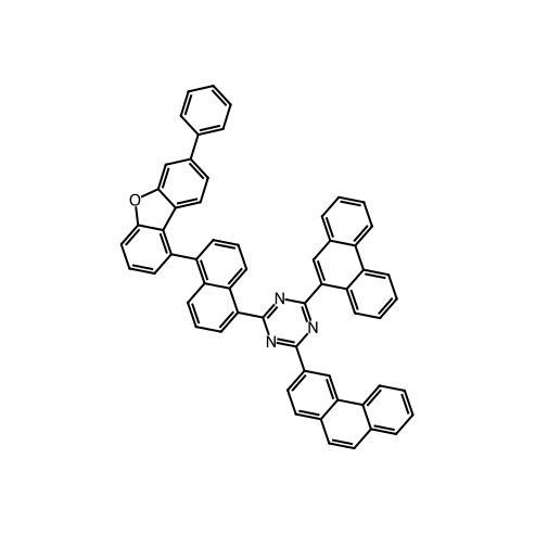 c1ccc(-c2ccc3c(c2)oc2cccc(-c4cccc5c(-c6nc(-c7ccc8ccc9ccccc9c8c7)nc(-c7cc8ccccc8c8ccccc78)n6)cccc45)c23)cc1